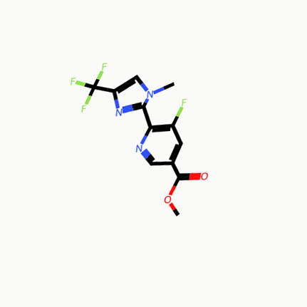 COC(=O)c1cnc(-c2nc(C(F)(F)F)cn2C)c(F)c1